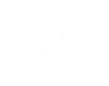 NCC(=O)[O-].[OH][Al+][OH]